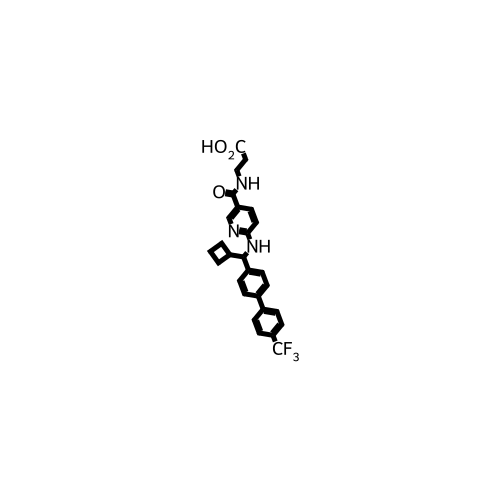 O=C(O)CCNC(=O)c1ccc(NC(c2ccc(-c3ccc(C(F)(F)F)cc3)cc2)C2CCC2)nc1